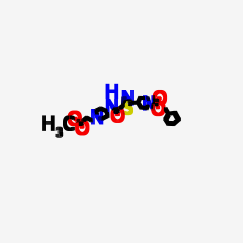 COC(=O)CCN1CCC(NC(=O)c2cnc(C3CCN(C(=O)OCc4ccccc4)CC3)s2)CC1